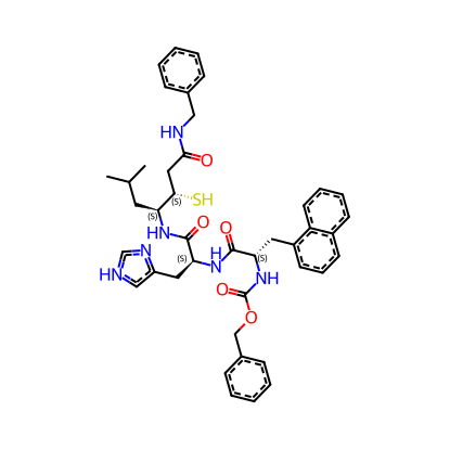 CC(C)C[C@H](NC(=O)[C@H](Cc1c[nH]cn1)NC(=O)[C@H](Cc1cccc2ccccc12)NC(=O)OCc1ccccc1)[C@@H](S)CC(=O)NCc1ccccc1